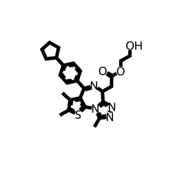 Cc1sc2c(c1C)C(c1ccc(C3CCCC3)cc1)=NC(CC(=O)OCCO)c1nnc(C)n1-2